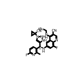 Cc1nc(F)ccc1[C@H](Nc1cc(F)c2ncc(C#N)c(NCC(C)(C)C)c2c1)C1=CN(C2(C#N)CC2)NN1